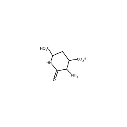 NC1C(=O)NC(C(=O)O)CC1C(=O)O